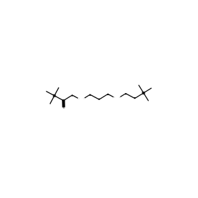 CC(C)(C)CCOCCCOCC(=O)C(C)(C)C